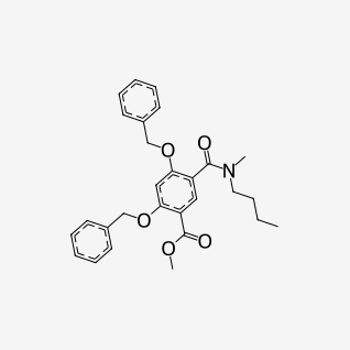 CCCCN(C)C(=O)c1cc(C(=O)OC)c(OCc2ccccc2)cc1OCc1ccccc1